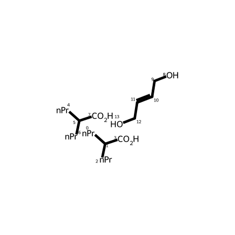 CCCC(CCC)C(=O)O.CCCC(CCC)C(=O)O.OCC=CCO